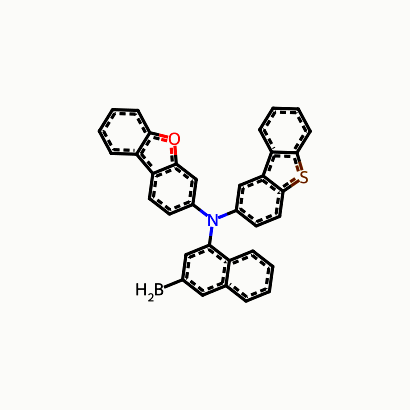 Bc1cc(N(c2ccc3c(c2)oc2ccccc23)c2ccc3sc4ccccc4c3c2)c2ccccc2c1